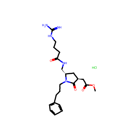 COC(=O)C[C@@H]1C[C@@H](CNC(=O)CCCNC(=N)N)N(CCCc2ccccc2)C1=O.Cl